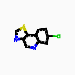 Clc1ccc2c(c1)ncc1ncsc12